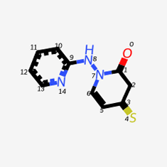 O=C1CC(=S)C=CN1Nc1ccccn1